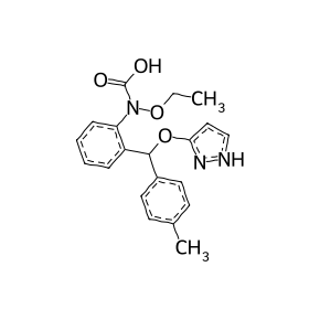 CCON(C(=O)O)c1ccccc1C(Oc1cc[nH]n1)c1ccc(C)cc1